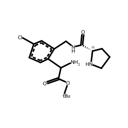 CC(C)(C)OC(=O)C(N)c1ccc(Cl)cc1CNC(=O)[C@@H]1CCCN1